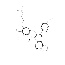 COc1ccc(C(=O)C(Cc2cc(OC)c(OC)c(OCCCN(C)C)c2)=C(C(=O)O)c2ccc3c(c2)OCO3)cc1